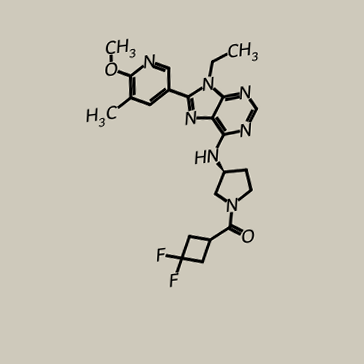 CCn1c(-c2cnc(OC)c(C)c2)nc2c(N[C@H]3CCN(C(=O)C4CC(F)(F)C4)C3)ncnc21